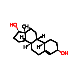 C[C@]12CC[C@H]3[C@@H](CCC4=C[C@@H](O)CC[C@@H]43)[C@@H]1CC[C@@H]2O